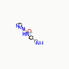 O=C(Nc1ccc(C2CCNCC2)cc1F)C1CN(c2cccnn2)C1